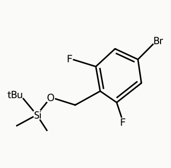 CC(C)(C)[Si](C)(C)OCc1c(F)cc(Br)cc1F